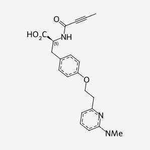 CC#CC(=O)N[C@@H](Cc1ccc(OCCc2cccc(NC)n2)cc1)C(=O)O